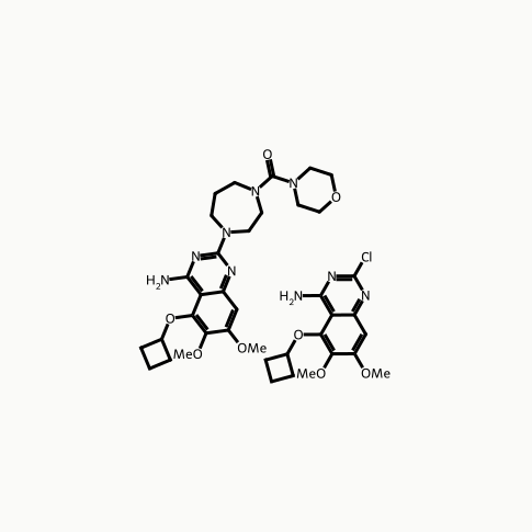 COc1cc2nc(Cl)nc(N)c2c(OC2CCC2)c1OC.COc1cc2nc(N3CCCN(C(=O)N4CCOCC4)CC3)nc(N)c2c(OC2CCC2)c1OC